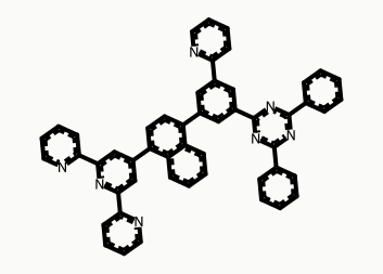 c1ccc(-c2nc(-c3ccccc3)nc(-c3cc(-c4ccccn4)cc(-c4ccc(-c5cc(-c6ccccn6)nc(-c6ccccn6)c5)c5ccccc45)c3)n2)cc1